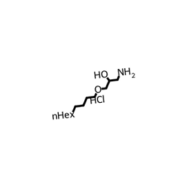 CCCCCCCCCCOCC(O)CN.Cl